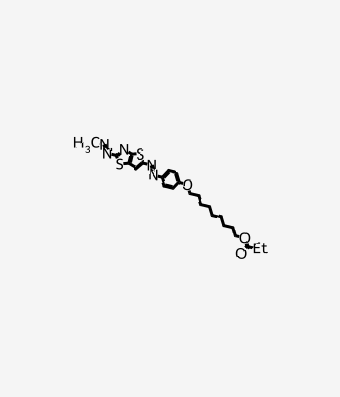 CCC(=O)OCCCCCCCCCOc1ccc(N=Nc2cc3sc(N=NC)nc3s2)cc1